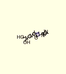 CC1=CC(N2CCC(N(CCO)CCO)CC2)=CN2C(=O)\C=C(c3cc4c(C)nc(C)cn4n3)/C=C/C=C\12